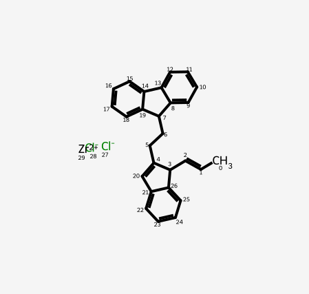 CC=CC1C(CCC2c3ccccc3-c3ccccc32)=Cc2ccccc21.[Cl-].[Cl-].[Zr+2]